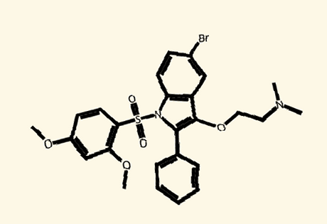 COc1ccc(S(=O)(=O)n2c(-c3ccccc3)c(OCCN(C)C)c3cc(Br)ccc32)c(OC)c1